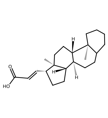 C[C@]12CC[C@H]3[C@@H](CCC4CCCC[C@@]43C)[C@@H]1CC[C@@H]2C=CC(=O)O